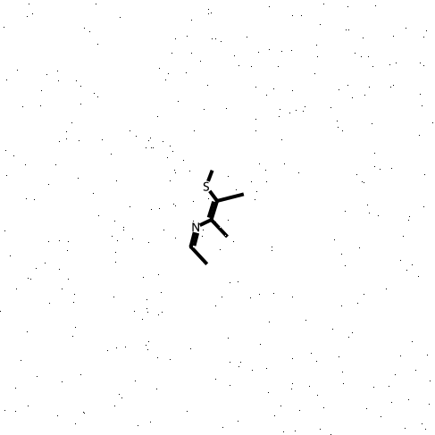 C/C=N\C(C)=C(\C)SC